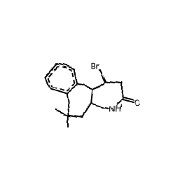 CC1(C)CC2NC(=O)CC(Br)C2c2ccccc21